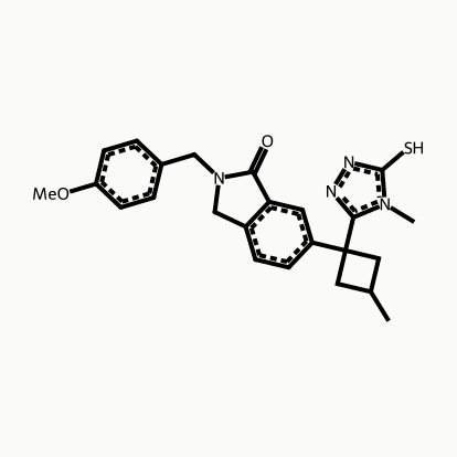 COc1ccc(CN2Cc3ccc(C4(c5nnc(S)n5C)CC(C)C4)cc3C2=O)cc1